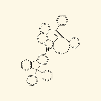 C=C1C2=C(c3ccccc3)c3cccc4ccc5c(c1c(n5-c1ccc5c(c1)-c1ccccc1C5(c1ccccc1)c1ccccc1)/C=C\Cc1ccccc12)c34